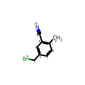 Cc1ccc(CBr)cc1C#N